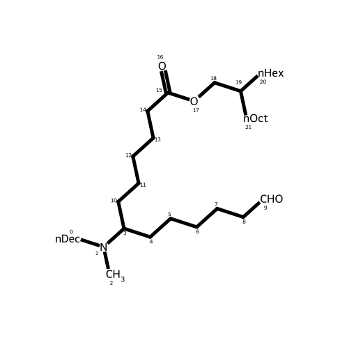 CCCCCCCCCCN(C)C(CCCCCC=O)CCCCCC(=O)OCC(CCCCCC)CCCCCCCC